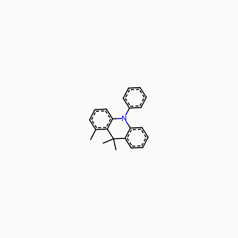 Cc1cccc2c1C(C)(C)c1ccccc1N2c1ccccc1